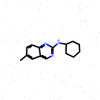 Cc1ccc2nc(NC3CCCCC3)ncc2c1